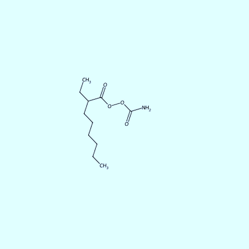 CCCCCCC(CC)C(=O)OOC(N)=O